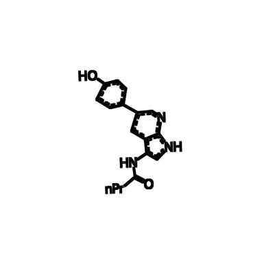 CCCC(=O)Nc1c[nH]c2ncc(-c3ccc(O)cc3)cc12